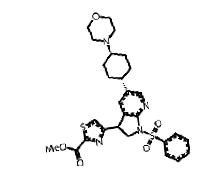 COC(=O)c1nc(C2CN(S(=O)(=O)c3ccccc3)c3ncc([C@H]4CC[C@H](N5CCOCC5)CC4)cc32)cs1